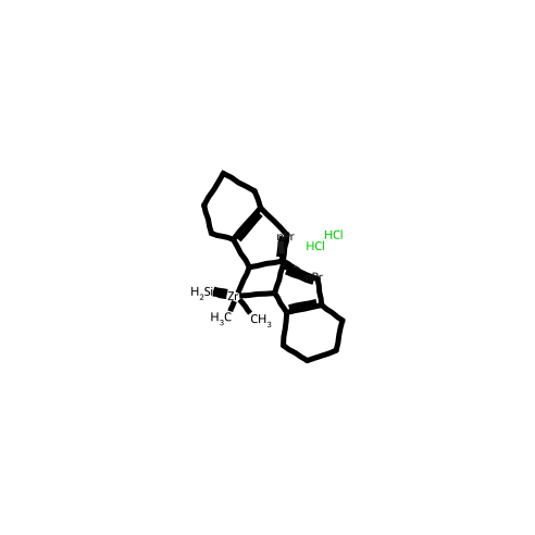 CCCC1=CC2=C(CCCC2)[CH]1[Zr]([CH3])([CH3])(=[SiH2])[CH]1C(CCC)=CC2=C1CCCC2.Cl.Cl